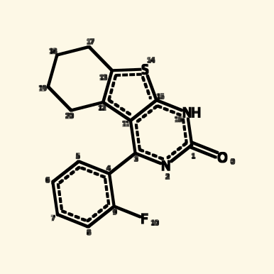 O=c1nc(-c2ccccc2F)c2c3c(sc2[nH]1)CCCC3